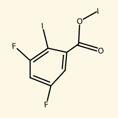 O=C(OI)c1cc(F)cc(F)c1I